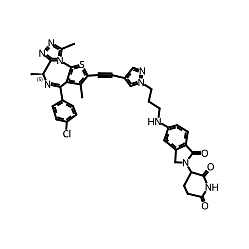 Cc1c(C#Cc2cnn(CCCNc3ccc4c(c3)CN(C3CCC(=O)NC3=O)C4=O)c2)sc2c1C(c1ccc(Cl)cc1)=N[C@@H](C)c1nnc(C)n1-2